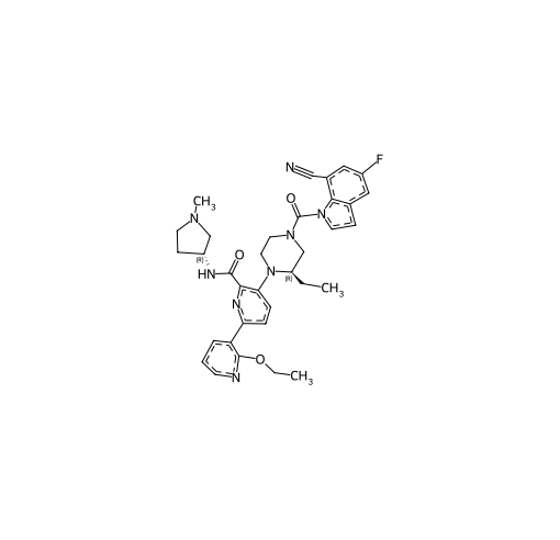 CCOc1ncccc1-c1ccc(N2CCN(C(=O)n3ccc4cc(F)cc(C#N)c43)C[C@H]2CC)c(C(=O)N[C@@H]2CCN(C)C2)n1